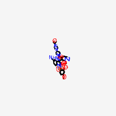 COc1ccc(S(=O)(=O)N2C(=O)[C@@](NC(=O)N3CCC(N4CCN(C5COC5)CC4)CC3)(c3cccnc3OC)c3cc(C#N)ccc32)c(OC)c1